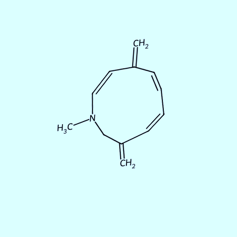 C=C1/C=C\C=C/C(=C)CN(C)/C=C\1